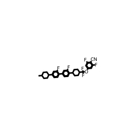 CC1CCC(c2ccc(-c3ccc(C4CCC(C(F)(F)Oc5cc(F)c(C#N)c(F)c5)CC4)c(F)c3)c(F)c2)CC1